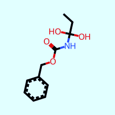 CCC(O)(O)NC(=O)OCc1ccccc1